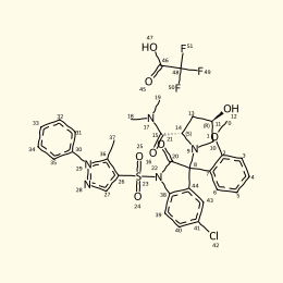 COc1ccccc1C1(N2C[C@H](O)C[C@H]2C(=O)N(C)C)C(=O)N(S(=O)(=O)c2cnn(-c3ccccc3)c2C)c2ccc(Cl)cc21.O=C(O)C(F)(F)F